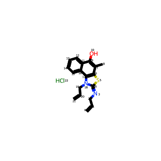 C=CCN=c1sc2c(C)c(O)c3ccccc3c2n1CC=C.Cl